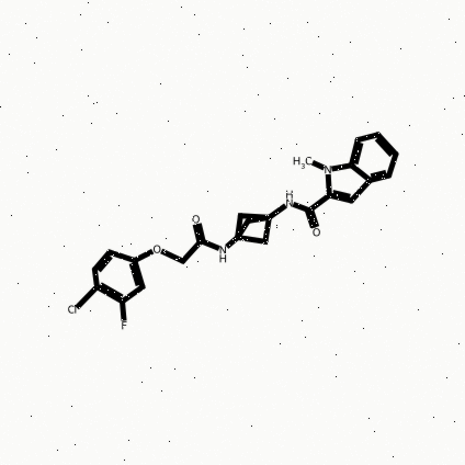 Cn1c(C(=O)NC23CC(NC(=O)COc4ccc(Cl)c(F)c4)(C2)C3)cc2ccccc21